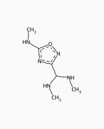 CNc1nc(C(NC)NC)no1